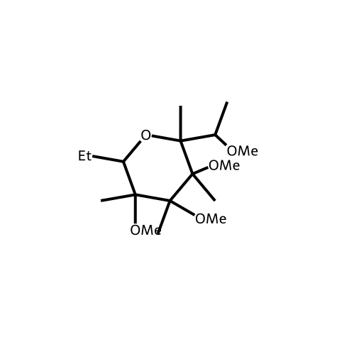 CCC1OC(C)(C(C)OC)C(C)(OC)C(C)(OC)C1(C)OC